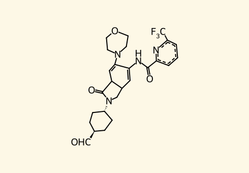 O=C[C@H]1CC[C@H](N2CC3C=C(NC(=O)c4cccc(C(F)(F)F)n4)C(N4CCOCC4)=CC3C2=O)CC1